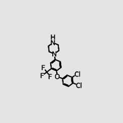 FC(F)(F)c1cc(N2CCNCC2)ccc1Oc1ccc(Cl)c(Cl)c1